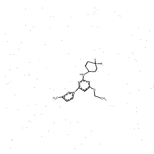 CCOc1cc(-n2ccc(C)n2)nc(NC2CCC(F)(F)CC2)n1